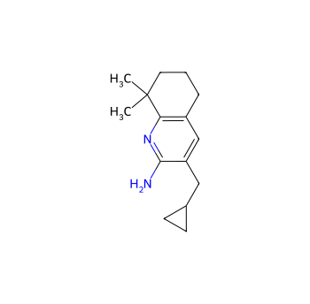 CC1(C)CCCc2cc(CC3CC3)c(N)nc21